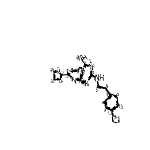 Nc1nc(NCCc2ccc(Cl)cc2)nc2nc(-c3ccco3)nn12